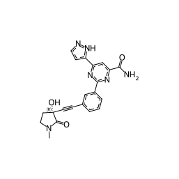 CN1CC[C@@](O)(C#Cc2cccc(-c3nc(C(N)=O)cc(-c4ccn[nH]4)n3)c2)C1=O